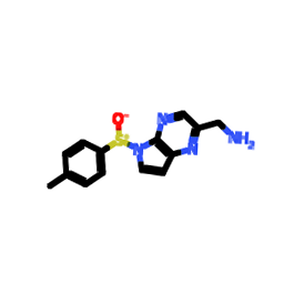 Cc1ccc([S+]([O-])n2ccc3nc(CN)cnc32)cc1